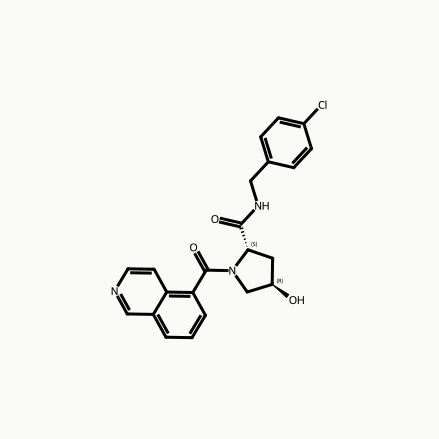 O=C(NCc1ccc(Cl)cc1)[C@@H]1C[C@@H](O)CN1C(=O)c1cccc2cnccc12